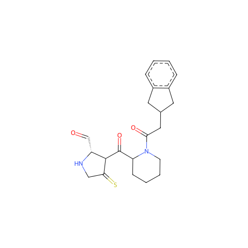 O=C[C@H]1NCC(=S)C1C(=O)C1CCCCN1C(=O)CC1Cc2ccccc2C1